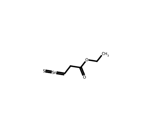 CCOC(=O)C[CH]=[Sn]=[S]